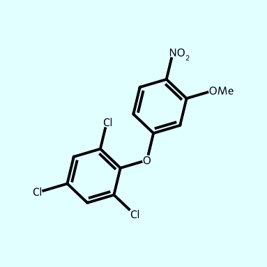 COc1cc(Oc2c(Cl)cc(Cl)cc2Cl)ccc1[N+](=O)[O-]